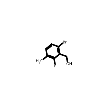 Cc1ccc(Br)c(CO)c1F